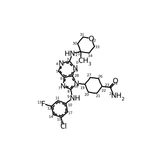 CC1(Nc2ncc3nc(Nc4cc(F)cc(Cl)c4)n(C4CCC(C(N)=O)CC4)c3n2)CCOCC1